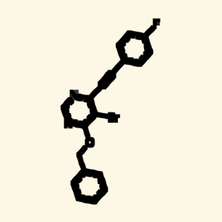 Fc1ccc(C#Cc2ncnc(OCc3ccccc3)c2Br)cc1